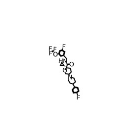 O=C(NCc1cc(F)cc(OC(F)(F)F)c1)[C@@]1(C2CC2)CC[C@@H](N2CCC(c3ccc(F)cc3)CC2)CO1